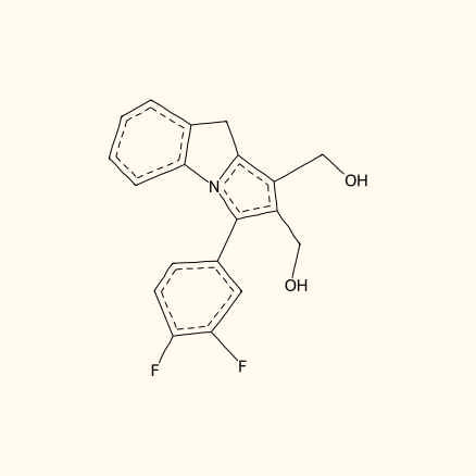 OCc1c(CO)c(-c2ccc(F)c(F)c2)n2c1Cc1ccccc1-2